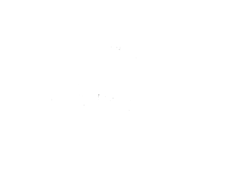 CC(=O)NC(CC(=O)OCC(=O)[C@@]12OC(C)(C)O[C@@H]1C[C@H]1[C@@H]3CCC4=CC(=O)C=C[C@]4(C)C3(F)[C@@H](O)C[C@@]12C)C(=O)OCCCCCl